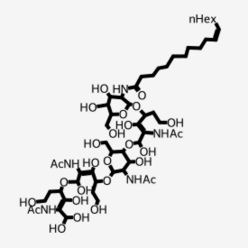 CCCCCC/C=C\CCCCCCCCCC(=O)NC1C(OC(CCO)/C(O)=C(\NC(C)=O)C(O)OC2C(CO)OC(OC(CCO)/C(O)=C(/NC(C)=O)C(O)OC(CCO)/C(O)=C(\NC(C)=O)C(O)O)C(NC(C)=O)C2O)OC(CO)C(O)C1O